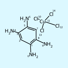 Nc1cc(N)c(N)cc1N.[Cl][Cu]([Cl])([Cl])[Cl]